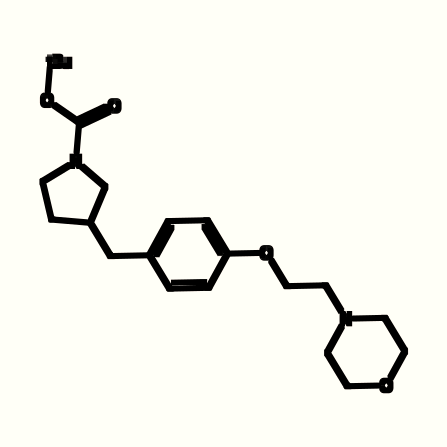 CC(C)(C)OC(=O)N1CCC(Cc2ccc(OCCN3CCOCC3)cc2)C1